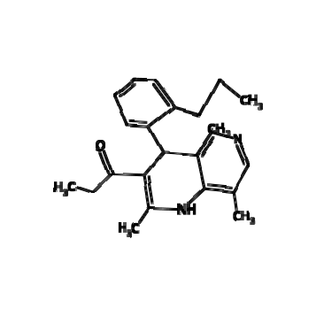 CCCc1ccccc1C1C(C(=O)CC)=C(C)Nc2c(C)cnc(C)c21